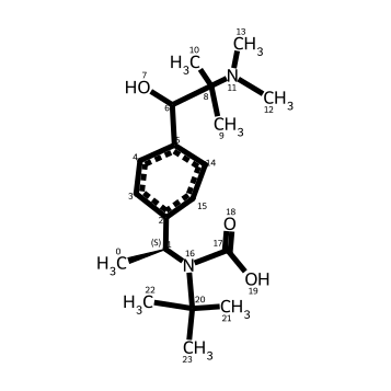 C[C@@H](c1ccc(C(O)C(C)(C)N(C)C)cc1)N(C(=O)O)C(C)(C)C